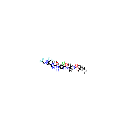 Cn1c(-c2cn(CC(F)F)nc2C(F)(F)F)cnc1C(=O)Nc1ccc(C(=O)NC2[C@H]3CN(C(=O)OC(C)(C)C)C[C@@H]23)c(Cl)c1